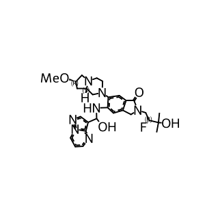 CO[C@@H]1C[C@H]2CN(c3cc4c(cc3NC(O)c3cnn5cccnc35)CN(C[C@@H](F)C(C)(C)O)C4=O)CCN2C1